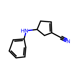 N#CC1=CCC(Nc2ccccc2)C1